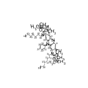 CC1=CC2=Nc3cc(C)c(N(CCCCCCI)C(=O)OC(C)(C)C)cc3N(c3ccccc3)C2C=C1N(CCCCCCI)C(=O)OC(C)(C)C